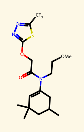 COCCN(C(=O)COc1nnc(C(F)(F)F)s1)C1=CC(C)(C)CC(C)C1